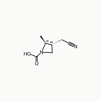 C[C@H]1[C@H](CC#N)CN1C(=O)O